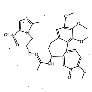 COc1cc2c(c(OC)c1OC)-c1ccc(OC)c(=O)cc1[C@@H](NC(C)=O)CC2.Cc1ncc([N+](=O)[O-])n1CCO